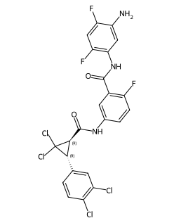 Nc1cc(NC(=O)c2cc(NC(=O)[C@H]3[C@H](c4ccc(Cl)c(Cl)c4)C3(Cl)Cl)ccc2F)c(F)cc1F